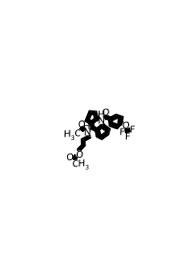 CC(=O)OCCCCN(C(C)=O)[C@H]1c2ccccc2N(C(=O)c2ccc(OC(F)(F)F)cc2)[C@@H]2CCC[C@@H]21